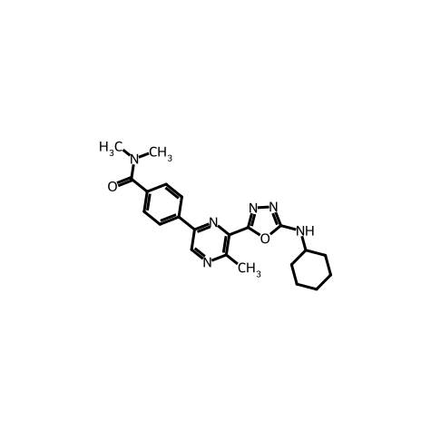 Cc1ncc(-c2ccc(C(=O)N(C)C)cc2)nc1-c1nnc(NC2CCCCC2)o1